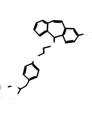 CCCc1ccc2c(c1)C=Cc1ccccc1C2OCCOc1ccc(CC(OCC)C(=O)OCC)cc1